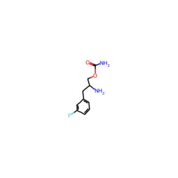 NC(=O)OCC(N)Cc1cccc(F)c1